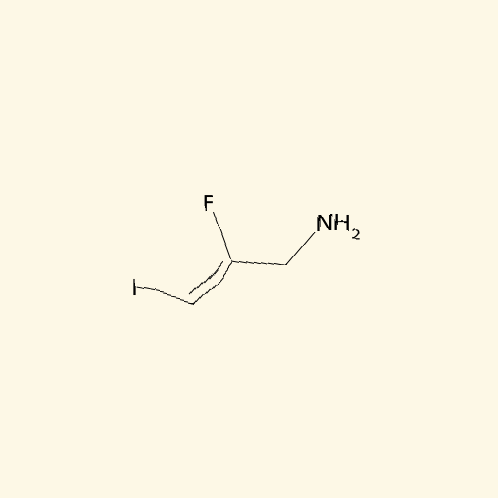 NC/C(F)=C/I